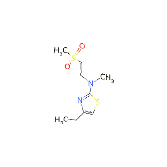 CCc1csc(N(C)CCS(C)(=O)=O)n1